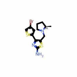 C[C@@H]1CCCN1Cc1sc(N)nc1-c1cc(Br)cs1